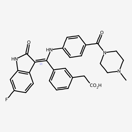 CN1CCN(C(=O)c2ccc(N/C(=C3\C(=O)Nc4cc(F)ccc43)c3cccc(CC(=O)O)c3)cc2)CC1